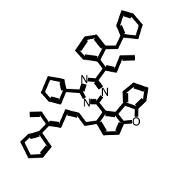 C=C/C=C(/c1nc(C2=CCCC=C2)nc(-c2c(C/C=C\C=C(/C=C)C3=CCCC=C3)ccc3oc4ccccc4c23)n1)c1ccccc1CC1=CC=CCC1